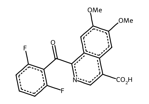 COc1cc2c(C(=O)O)cnc(C(=O)c3c(F)cccc3F)c2cc1OC